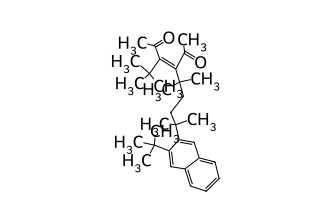 CC(=O)/C(=C(\C(C)=O)C(C)(C)CCC(C)(C)c1cc2ccccc2cc1C(C)(C)C)C(C)(C)C